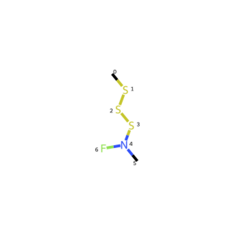 CSSSN(C)F